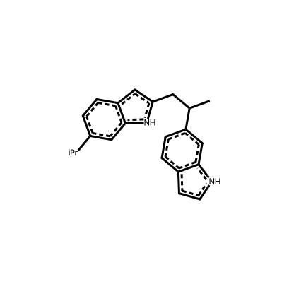 CC(C)c1ccc2cc(CC(C)c3ccc4cc[nH]c4c3)[nH]c2c1